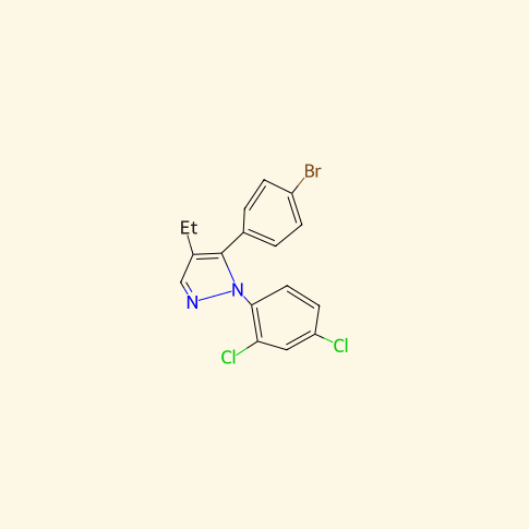 CCc1cnn(-c2ccc(Cl)cc2Cl)c1-c1ccc(Br)cc1